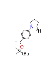 [2H][C@@H]1CCCN1c1ccc([C@@H](C)O[Si](C)(C)C(C)(C)C)cc1